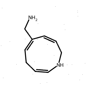 NCC1=C/C/C=C\NC/C=C\1